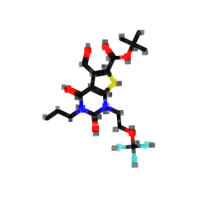 CCCn1c(=O)c2c(C=O)c(C(=O)OC(C)(C)C)sc2n(CCOC(F)(F)F)c1=O